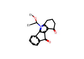 CCOC(CC)n1c2c(c3c1-c1ccccc1C3=O)C(=O)CCC2